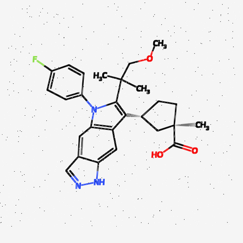 COCC(C)(C)c1c([C@@H]2CC[C@@](C)(C(=O)O)C2)c2cc3[nH]ncc3cc2n1-c1ccc(F)cc1